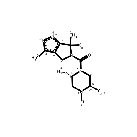 CCN1C[C@H](C)N(C(=O)N2Cc3c(C)n[nH]c3C2(C)C)C[C@H]1C